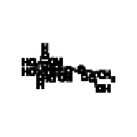 CCC(CC(=O)OCCOC[C@H]1O[C@@](CO)(O[C@H]2OC(CO)[C@@H](O)[C@H](O)C2O)[C@H](O)C1O)OCCO